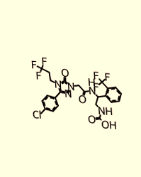 O=C(O)NCC(NC(=O)Cn1nc(-c2ccc(Cl)cc2)n(CCC(F)(F)F)c1=O)c1ccccc1C(F)(F)F